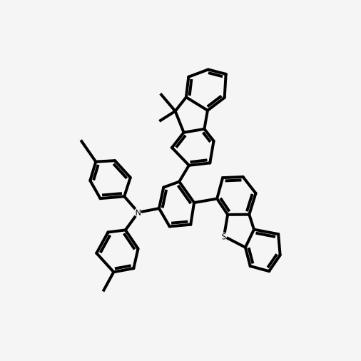 Cc1ccc(N(c2ccc(C)cc2)c2ccc(-c3cccc4c3sc3ccccc34)c(-c3ccc4c(c3)C(C)(C)c3ccccc3-4)c2)cc1